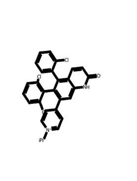 CC(C)[n+]1ccc(-c2cc3[nH]c(=O)ccc3c(-c3ccccc3Cl)c2-c2c(Cl)cccc2Cl)cc1